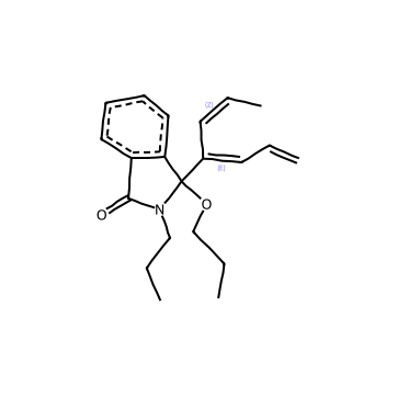 C=C/C=C(\C=C/C)C1(OCCC)c2ccccc2C(=O)N1CCC